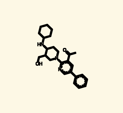 CC(=O)c1cc(-c2ccccc2)cnc1N1CCC(NC2CCCCC2)C(CO)C1